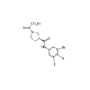 CCOC(=O)C(=O)N1CC[C@H](C(=O)Nc2cc(F)c(F)c(Br)c2)C1